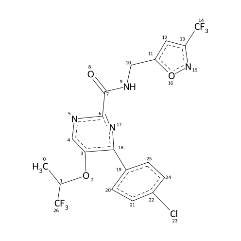 CC(Oc1cnc(C(=O)NCc2cc(C(F)(F)F)no2)nc1-c1ccc(Cl)cc1)C(F)(F)F